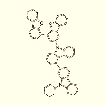 C1=CC(n2c3ccccc3c3ccc(-c4cccc5c4c4ccccc4n5-c4cc(-c5cccc6c5oc5ccccc56)c5sc6ccccc6c5c4)cc32)=CCC1